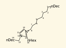 CCCCCCCCCCCCCCCCCC[n+]1ccn(CCCCCCCCCCC)c1CCCCCC